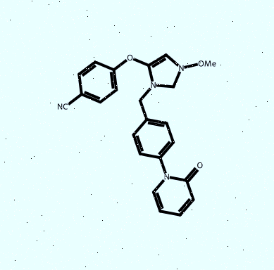 CON1C=C(Oc2ccc(C#N)cc2)N(Cc2ccc(-n3ccccc3=O)cc2)C1